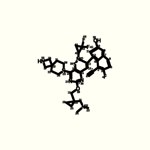 C#Cc1c(F)ccc2cc(O)cc(C3=Cc4nc(OCC5(CN(C)C)CC5)nc(N5CCC6(CC5)CNC6)c4SN3C3CC3(F)F)c12